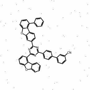 N#Cc1cccc(-c2ccc(-c3nc(-c4ccc5c(c4)oc4cccc(-c6ccccc6)c45)nc(-c4cccc5oc6ccccc6c45)n3)cc2)c1